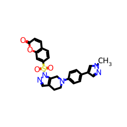 Cn1cc(-c2ccc(N3CCc4cnn(S(=O)(=O)c5ccc6ccc(=O)oc6c5)c4C3)cc2)cn1